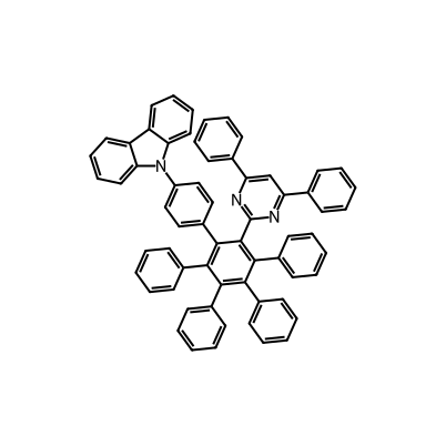 c1ccc(-c2cc(-c3ccccc3)nc(-c3c(-c4ccccc4)c(-c4ccccc4)c(-c4ccccc4)c(-c4ccccc4)c3-c3ccc(-n4c5ccccc5c5ccccc54)cc3)n2)cc1